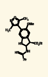 CCOC(=O)[C@@H]1c2cc(OC)c(-c3c(C)noc3C)cc2NC1NC(=N)C(C)C